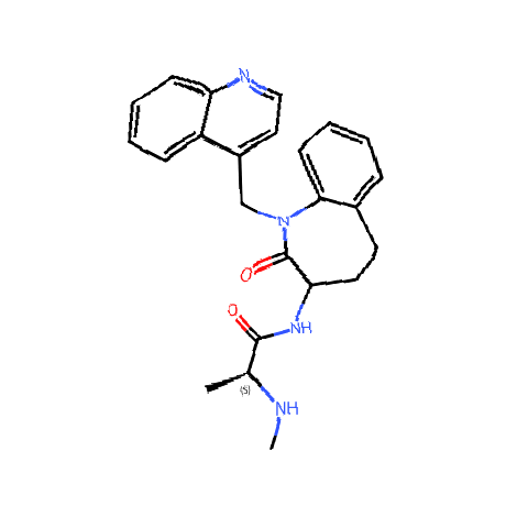 CN[C@@H](C)C(=O)NC1CCc2ccccc2N(Cc2ccnc3ccccc23)C1=O